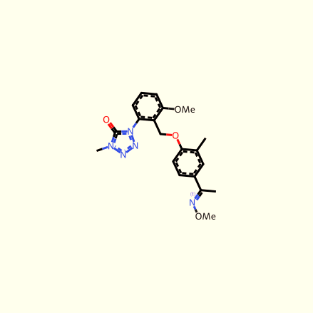 CO/N=C(\C)c1ccc(OCc2c(OC)cccc2-n2nnn(C)c2=O)c(C)c1